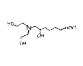 CCCCCCCCCCCCC(O)CN(CCO)CCO